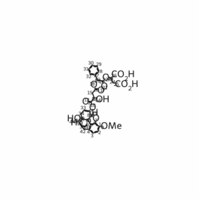 COc1ccc2c3c1O[C@@H]1C(OC(=O)[C@@H](O)CC(=O)O[C@H](C(=O)O[C@H](CC(=O)O)C(=O)O)c4ccccc4)=CC[C@]4(O)[C@@H](CCC[C@@]314)C2